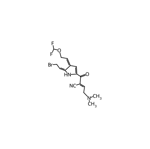 CN(C)C/C=C(\C#N)C(=O)c1cc(=C/COC(F)F)/c(=C\CBr)[nH]1